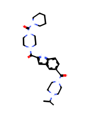 CC(C)N1CCN(C(=O)c2ccc3[nH]c(C(=O)N4CCN(C(=O)N5CCCCC5)CC4)cc3c2)CC1